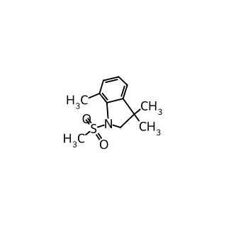 Cc1cccc2c1N(S(C)(=O)=O)CC2(C)C